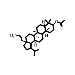 CC(=O)O[C@H]1CC[C@@]2(C)[C@H](CC[C@]3(C)[C@@H]2CC[C@@H]2C4=C(C(C)C)CC[C@]4(CCN)CC[C@]23C)C1(C)C